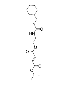 CC(C)OC(=O)/C=C/C(=O)OCCNC(=O)NCC1CCCCC1